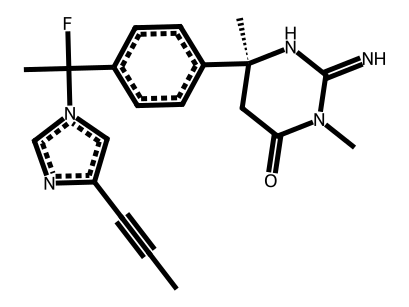 CC#Cc1cn(C(C)(F)c2ccc([C@]3(C)CC(=O)N(C)C(=N)N3)cc2)cn1